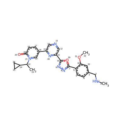 CNCc1ccc(-c2nnc(-c3cncc(-c4ccc(=O)n(C(C)C5CC5)c4)n3)o2)c(OC)c1